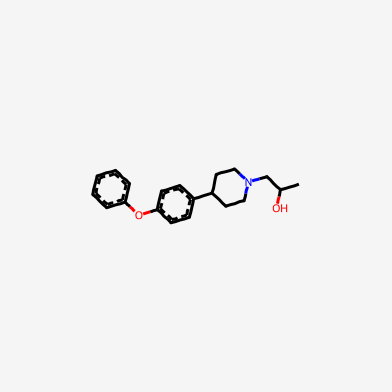 CC(O)CN1CCC(c2ccc(Oc3ccccc3)cc2)CC1